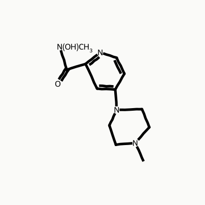 CN1CCN(c2ccnc(C(=O)N(C)O)c2)CC1